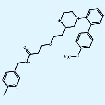 COc1ccc(-c2ccccc2N2CCNC(CCOCCC(=O)NCc3ccc(F)nc3)C2)cc1